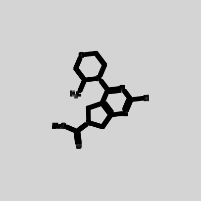 COC(=O)N1Cc2nc(Cl)nc(N3CCOCC3C)c2C1